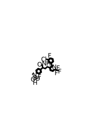 CN(c1ccc(C(CCc2ccc(C(F)(F)F)nc2-c2ccc(F)c(Cl)c2)C(N)=O)cc1F)[SH](=O)=O